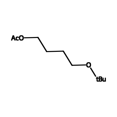 CC(=O)OCCCCOC(C)(C)C